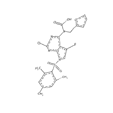 Cc1cc(C)c(S(=O)(=O)n2cc(F)c3c(N(Cc4ccco4)C(=O)O)nc(Cl)nc32)c(C)c1